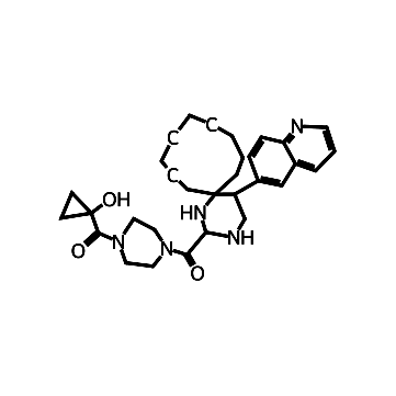 O=C(C1NCC(c2ccc3ncccc3c2)C2(CCCCCCCCC2)N1)N1CCN(C(=O)C2(O)CC2)CC1